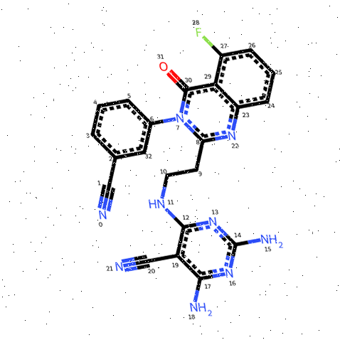 N#Cc1cccc(-n2c(CCNc3nc(N)nc(N)c3C#N)nc3cccc(F)c3c2=O)c1